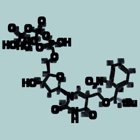 CC(C)(C)[C@H](OCc1cn([C@H]2C[C@@H](O)[C@@H](COP(=O)(O)OP(=O)(O)OP(=O)(O)O)O2)c(=O)[nH]c1=O)c1ccccc1[N+](=O)[O-]